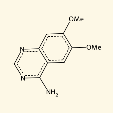 COc1cc2n[c]nc(N)c2cc1OC